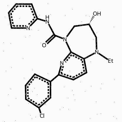 CCN1C[C@@H](O)CN(C(=O)Nc2ccccn2)c2nc(-c3cccc(Cl)c3)ccc21